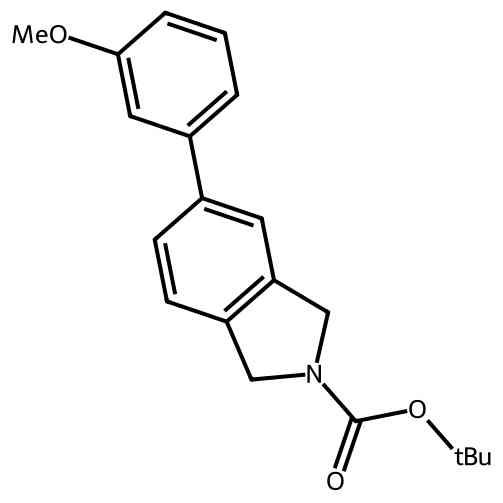 COc1cccc(-c2ccc3c(c2)CN(C(=O)OC(C)(C)C)C3)c1